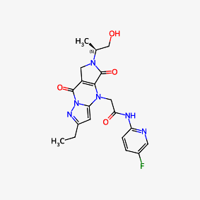 CCc1cc2n(CC(=O)Nc3ccc(F)cn3)c3c(c(=O)n2n1)CN([C@@H](C)CO)C3=O